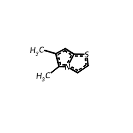 Cc1cc2sccn2c1C